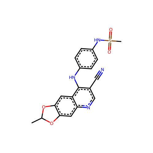 CC1Oc2cc3ncc(C#N)c(Nc4ccc(NS(C)(=O)=O)cc4)c3cc2O1